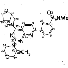 CNC(=O)c1cccc(-c2ccc3c(N4CC5COC(C5)C4)nc(N4CCOC[C@@H]4C)nc3n2)c1